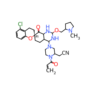 C=CC(=O)N1CCN(C2NC(OCC3CCCN3C)NC3C(=O)[C@]4(CCc5c(Cl)cccc5O4)CCC32)CC1CC#N